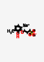 Cc1cccc(OCCCS(=O)(=O)[O-])c1O.[Na+]